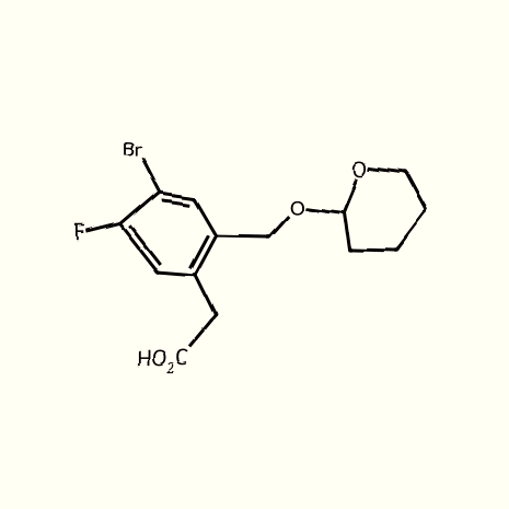 O=C(O)Cc1cc(F)c(Br)cc1COC1CCCCO1